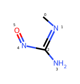 C/N=C(/N)N=O